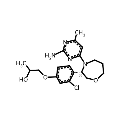 Cc1cc(N2CCCOC[C@@H]2c2ccc(OCC(C)O)cc2Cl)nc(N)n1